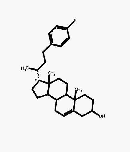 CC(CCc1ccc(F)cc1)[C@H]1CCC2C3CC=C4CC(O)CCC4(C)C3CCC21C